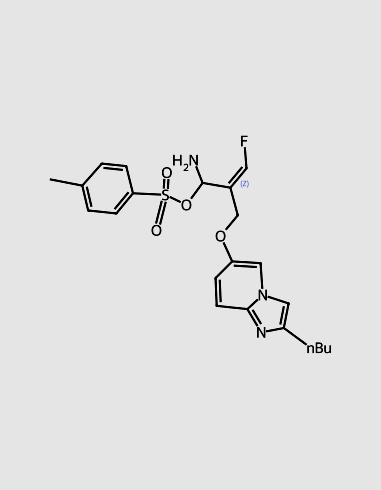 CCCCc1cn2cc(OC/C(=C/F)C(N)OS(=O)(=O)c3ccc(C)cc3)ccc2n1